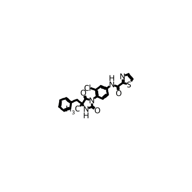 CC1(Cc2ccccc2)NC(=O)N(c2ccc(NC(=O)c3nccs3)cc2Cl)C1=O